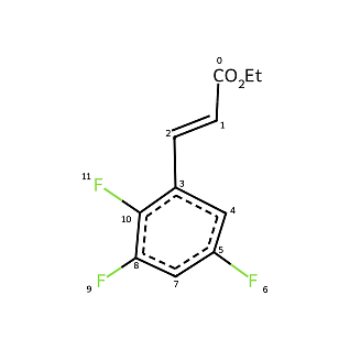 CCOC(=O)C=Cc1cc(F)cc(F)c1F